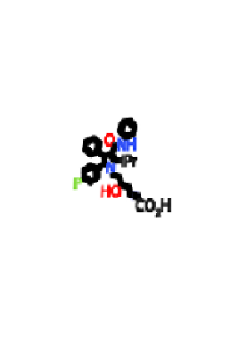 CC(C)c1c(C(=O)Nc2ccccc2)c(-c2ccccc2)c(-c2ccc(F)cc2)n1CCC(O)C/C=C/C(=O)O